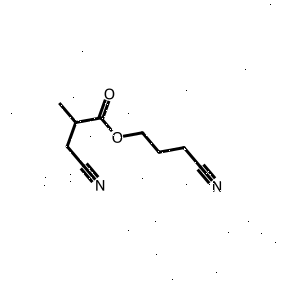 CC(CC#N)C(=O)OCCCC#N